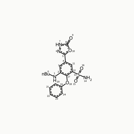 CCCCNc1cc(-c2n[nH]c(=O)o2)cc(S(N)(=O)=O)c1Oc1ccccc1